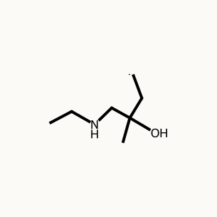 [CH2]CC(C)(O)CNCC